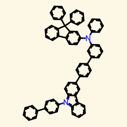 c1ccc(-c2ccc(-n3c4ccccc4c4cc(-c5ccc(-c6cccc(N(c7ccccc7)c7ccc8c(c7)C(c7ccccc7)(c7ccccc7)c7ccccc7-8)c6)cc5)ccc43)cc2)cc1